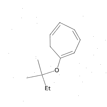 CCC(C)(C)OC1=CC=CC=CC1